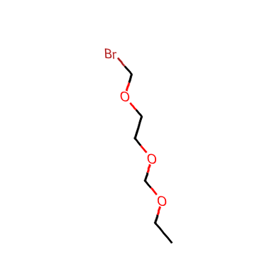 CCOCOCCOCBr